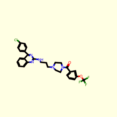 O=C(c1cccc(OC(F)(F)F)c1)N1CCN(CCCNc2nc(-c3ccc(Cl)cc3)c3ccccc3n2)CC1